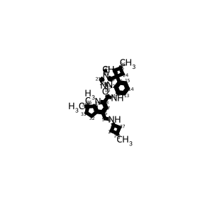 CC1CC(NCc2cc(C(=O)Nc3cccc(C4(c5nncn5C)CC(C)C4)c3)nc3c2CCC3(C)C)C1